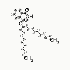 CCCCCCCCCCC(CCCCCCCCCC)OC(=O)c1ccccc1C(=O)O